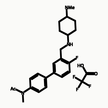 CNC1CCC(NCc2cc(-c3ccc(N(C)C(C)=O)cc3)ccc2F)CC1.O=C(O)C(F)(F)F